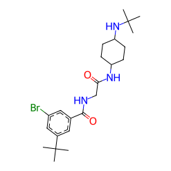 CC(C)(C)NC1CCC(NC(=O)CNC(=O)c2cc(Br)cc(C(C)(C)C)c2)CC1